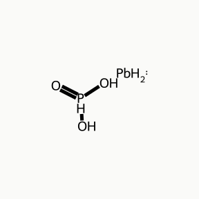 O=[PH](O)O.[PbH2]